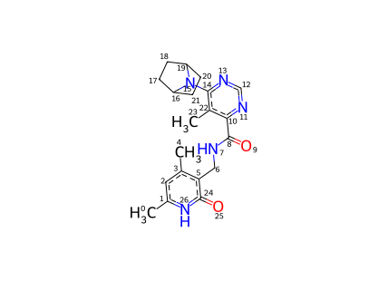 Cc1cc(C)c(CNC(=O)c2ncnc(N3C4CCC3CC4)c2C)c(=O)[nH]1